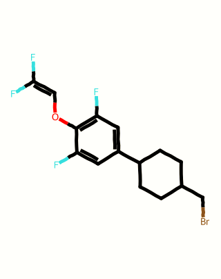 FC(F)=COc1c(F)cc(C2CCC(CBr)CC2)cc1F